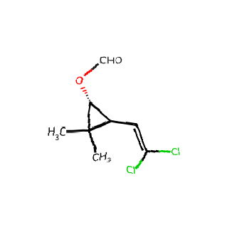 CC1(C)C(C=C(Cl)Cl)[C@H]1OC=O